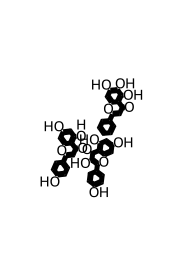 O=c1c(O)c(-c2ccc(O)cc2)oc2cc(O)cc(O)c12.O=c1cc(-c2ccc(O)cc2)oc2cc(O)cc(O)c12.O=c1cc(-c2ccccc2)oc2cc(O)c(O)c(O)c12